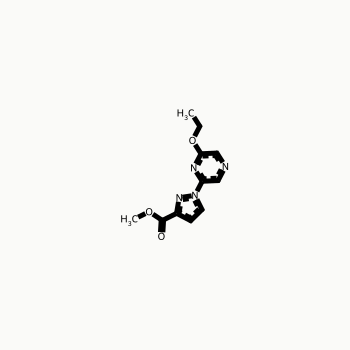 CCOc1cncc(-n2ccc(C(=O)OC)n2)n1